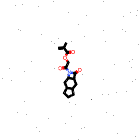 C=C(C)C(=O)OCC(=O)N1C(=O)C2CC3CCCC3CC21